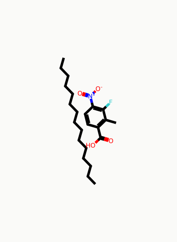 CCCCCCCCCCCCCCC.Cc1c(C(=O)O)ccc([N+](=O)[O-])c1F